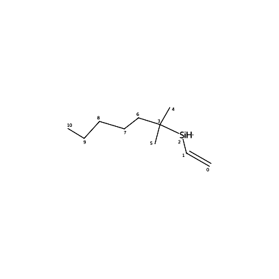 C=C[SiH]C(C)(C)CCCCC